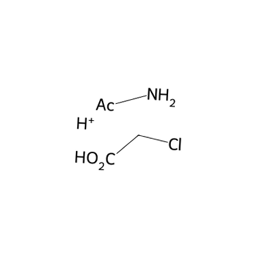 CC(N)=O.O=C(O)CCl.[H+]